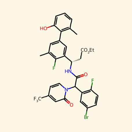 CCOC(=O)C[C@H](NC(=O)C(c1cc(Br)ccc1F)n1ccc(C(F)(F)F)cc1=O)c1cc(-c2c(C)cccc2O)cc(C)c1F